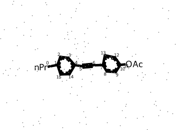 CCCc1ccc(C#Cc2ccc(OC(C)=O)cc2)cc1